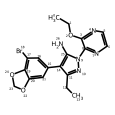 CCOc1nccnc1-n1nc(CC)c(-c2cc(Br)c3c(c2)OCO3)c1N